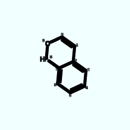 C1=Cc2ccccc2PO1